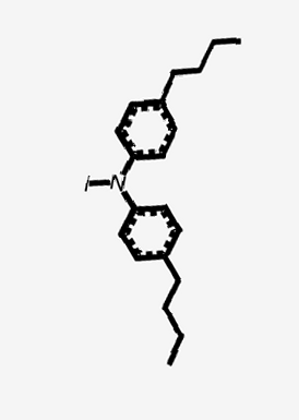 CCCCc1ccc(N(I)c2ccc(CCCC)cc2)cc1